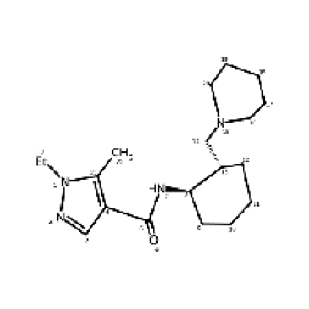 CCn1ncc(C(=O)N[C@@H]2CCCC[C@H]2CN2CCCCC2)c1C